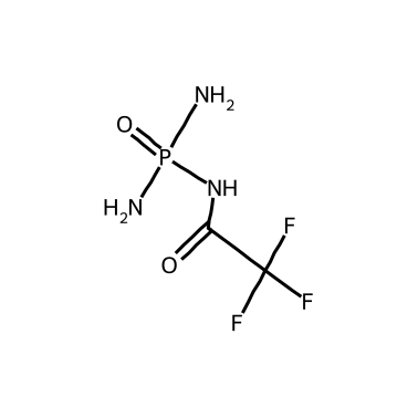 NP(N)(=O)NC(=O)C(F)(F)F